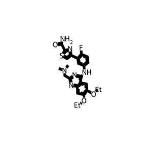 CCOc1cc2nc(CN(C)C)nc(Nc3ccc(F)c(-c4csc(C(N)=O)n4)c3)c2cc1OCC